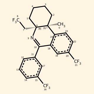 C[C@@]12CCCC[C@]1(CC(F)(F)F)N=C(c1cccc(C(F)(F)F)c1)c1cc(C(F)(F)F)ccc12